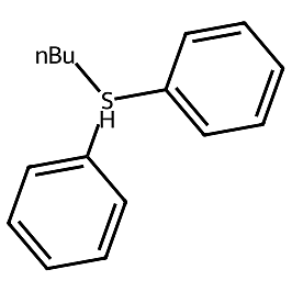 CCCC[SH](c1ccccc1)c1ccccc1